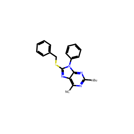 CCCCc1nc(C#N)c2nc(SCc3ccccc3)n(-c3ccccc3)c2n1